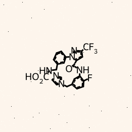 O=C(O)NCc1cccc(-n2nc(C(F)(F)F)cc2C(=O)Nc2cc(Cn3ccnc3)ccc2F)c1